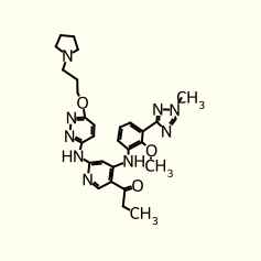 CCC(=O)c1cnc(Nc2ccc(OCCCN3CCCC3)nn2)cc1Nc1cccc(-c2ncn(C)n2)c1OC